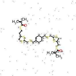 C=C(C)C(=O)SCCC1CSC(CSCC2CCC(CSCC3SCC(CSC(=O)C(=C)C)S3)CC2)S1